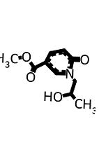 COC(=O)c1ccc(=O)n(CC(C)O)c1